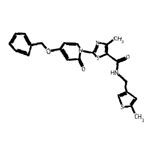 Cc1cc(CNC(=O)c2sc(-n3ccc(OCc4ccccc4)cc3=O)nc2C)cs1